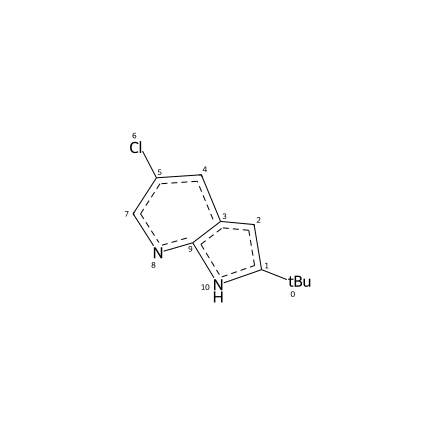 CC(C)(C)c1cc2cc(Cl)cnc2[nH]1